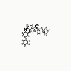 Nc1nc2ccc(-c3ccccc3)cc2cc1CCC(=O)NCC1CCCCC1